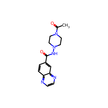 CC(=O)N1CCN(NC(=O)c2ccc3nccnc3c2)CC1